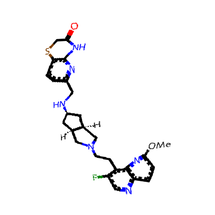 COc1ccc2ncc(F)c(CCN3C[C@H]4C[C@@H](NCc5ccc6c(n5)NC(=O)CS6)C[C@H]4C3)c2n1